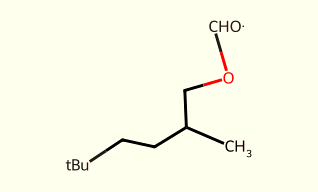 CC(CCC(C)(C)C)CO[C]=O